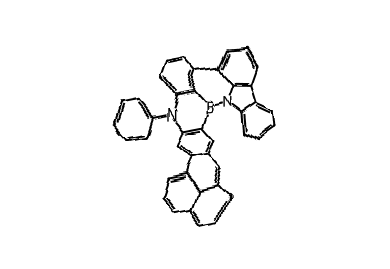 C1=CC2=CC=CC3=Cc4cc5c(cc4C(=C1)C23)N(c1ccccc1)c1cccc2c1B5n1c3ccccc3c3cccc-2c31